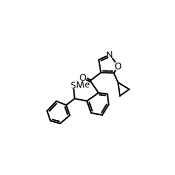 CSC(c1ccccc1)c1ccccc1C(=O)c1cnoc1C1CC1